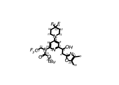 Cc1nc(CC(O)c2cc(N3CCC(F)(F)CC3)cc(N(CC(F)(F)F)C(=O)OC(C)(C)C)n2)oc1C